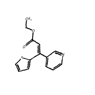 CCOC(=O)C=C(c1cccnc1)c1cccs1